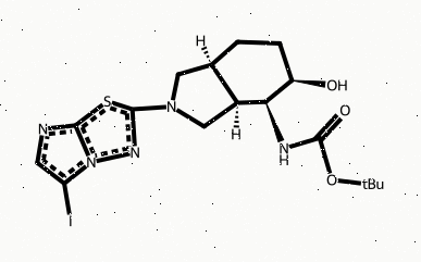 CC(C)(C)OC(=O)N[C@H]1[C@H]2CN(c3nn4c(I)cnc4s3)C[C@H]2CC[C@H]1O